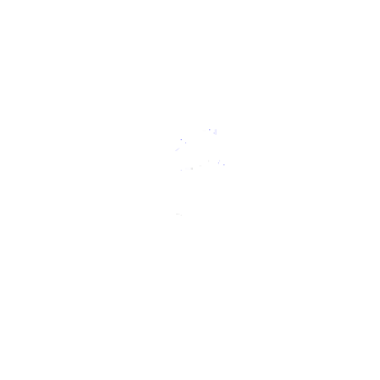 CC(=O)OC[C@H]1O[C@@H](n2cnc3c(N)ncnc32)CC1OC(C)=O